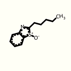 CCCCCc1nc2ccccc2[s+]1[O-]